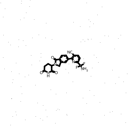 N#Cc1ccc(C(N)(F)F)nc1-c1ccc2c(c1)CN(C1CCC(=O)NC1=O)C2=O